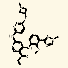 CCC(=O)c1cnc(Nc2ccc(OC3CN(C)C3)nn2)cc1Nc1cccc(-c2ncn(C)n2)c1OC